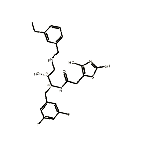 CCc1cccc(CNC[C@@H](O)[C@H](Cc2cc(F)cc(F)c2)NC(=O)Cc2sc(O)nc2O)c1